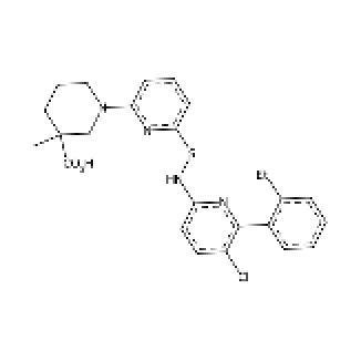 CCc1ccccc1-c1nc(NSc2cccc(N3CCCC(C)(C(=O)O)C3)n2)ccc1Cl